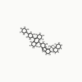 CC1(C)c2c(ccc3ccccc23)-c2ccc3sc4cc(-c5c6ccccc6c(-c6ccc(-c7ccccc7)cc6)c6ccccc56)ccc4c3c21